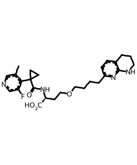 Cc1cncc(F)c1C1(C(=O)N[C@@H](CCOCCCCc2ccc3c(n2)NCCC3)C(=O)O)CC1